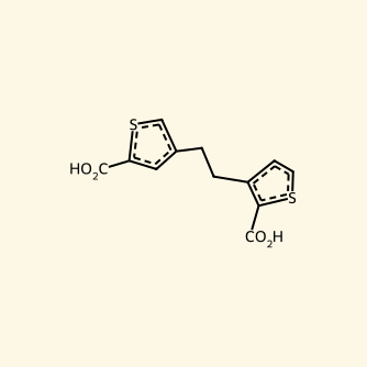 O=C(O)c1cc(CCc2ccsc2C(=O)O)cs1